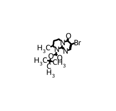 CC1CCn2c(ncc(Br)c2=O)N1C(=O)OC(C)(C)C